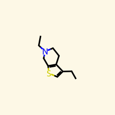 CCc1csc2c1CCN(CC)C2